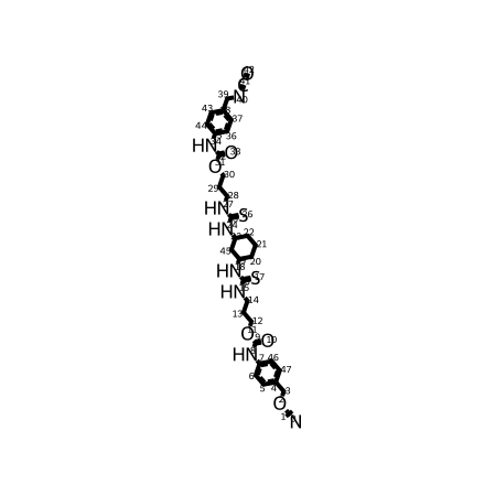 N#COCc1ccc(NC(=O)OCCCNC(=S)NC2CCCC(NC(=S)NCCCOC(=O)Nc3ccc(CN=C=O)cc3)C2)cc1